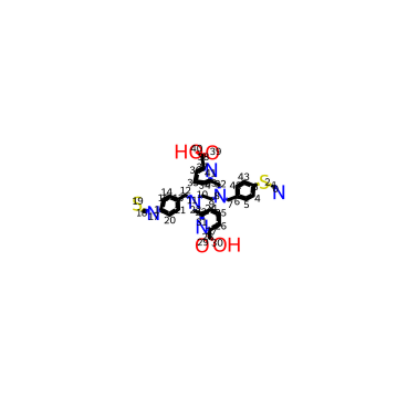 N#CSc1ccc(CN(CCN(Cc2ccc(N=C=S)cc2)Cc2cccc(C(=O)O)n2)Cc2cccc(C(=O)O)n2)cc1